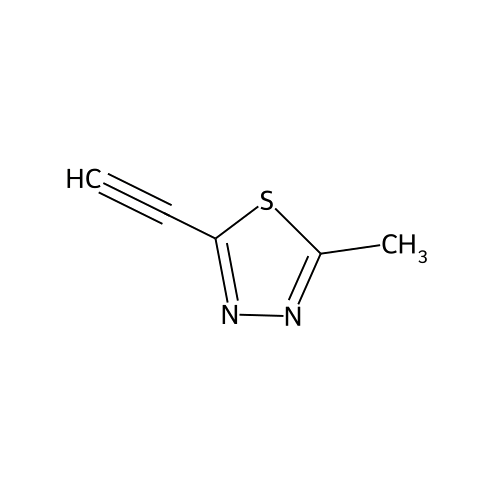 C#Cc1nnc(C)s1